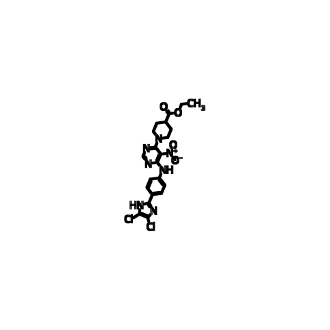 CCOC(=O)C1CCN(c2ncnc(Nc3ccc(-c4nc(Cl)c(Cl)[nH]4)cc3)c2[N+](=O)[O-])CC1